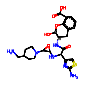 NCC1CCN(C2OC2NC(C(=O)N[C@H]2Cc3cccc(C(=O)O)c3OB2O)c2csc(N)n2)CC1